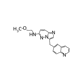 COCCNc1ccc2ncc(Cc3ccc4ncccc4c3)n2n1